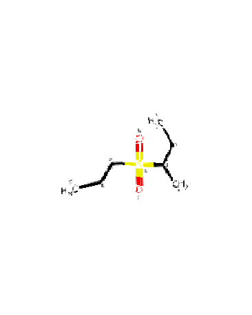 [CH2]C(CC)S(=O)(=O)CCC